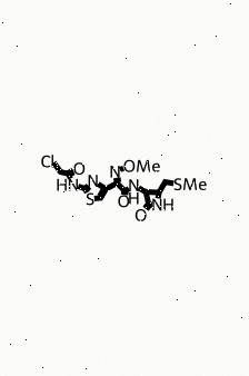 CON=C(C(=O)NC1C(=O)NC1CSC)c1csc(NC(=O)CCl)n1